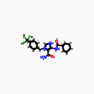 NC(=O)c1c(NC(=O)c2ccccc2)ncn1Cc1ccc(C(F)(F)F)cc1